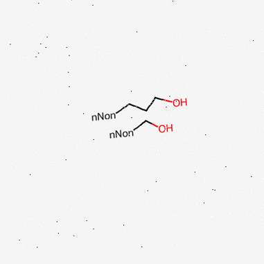 CCCCCCCCCCCCO.CCCCCCCCCCO